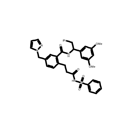 COc1cc(OC)cc(C(CC(C)C)NC(=O)c2cc(Cn3cccn3)ccc2CCC(=O)NS(=O)(=O)c2ccccc2)c1